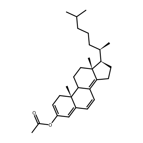 CC(=O)OC1=CC[C@@]2(C)C(=C1)C=CC1=C3CC[C@H]([C@H](C)CCCC(C)C)[C@@]3(C)CCC12